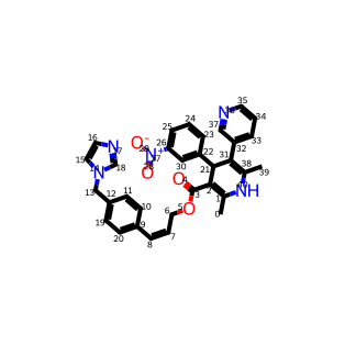 CC1=C(C(=O)OC/C=C\c2ccc(Cn3ccnc3)cc2)C(c2cccc([N+](=O)[O-])c2)C(c2cccnc2)=C(C)N1